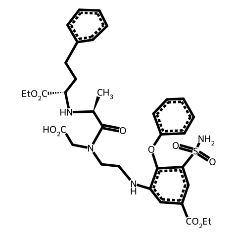 CCOC(=O)c1cc(NCCN(CC(=O)O)C(=O)[C@H](C)N[C@@H](CCc2ccccc2)C(=O)OCC)c(Oc2ccccc2)c(S(N)(=O)=O)c1